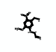 COc1cc([N+](=O)[O-])c(CBr)cc1OC[C]=O